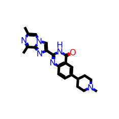 Cc1cn2cc(-c3nc4ccc(C5CCN(C)CC5)cc4c(=O)[nH]3)nc2c(C)n1